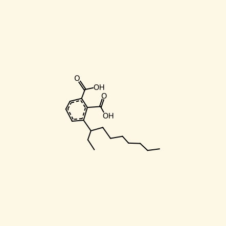 CCCCCCCC(CC)c1cccc(C(=O)O)c1C(=O)O